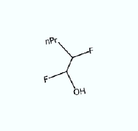 CCCC(F)C(O)F